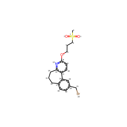 CS(=O)(=O)CCCOc1ccc2c(n1)CCCc1ccc(CBr)cc1-2